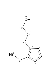 N#CCc1cccn1CCCO